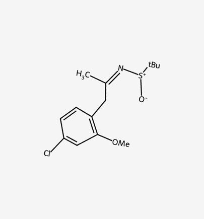 COc1cc(Cl)ccc1C/C(C)=N\[S+]([O-])C(C)(C)C